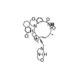 CO[C@@]1(C#CCN2CCN3CCOC[C@@H]3C2)/C=C/C[C@H](C)[C@@H](C)S(=O)(=O)NC(=O)c2ccc3c(c2)N(C[C@@H]2CC[C@H]21)CC1(CCCc2cc(Cl)ccc21)CO3